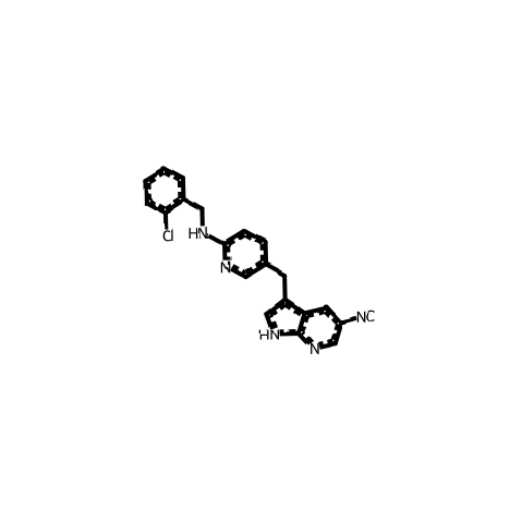 [C-]#[N+]c1cnc2[nH]cc(Cc3ccc(NCc4ccccc4Cl)nc3)c2c1